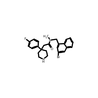 CN(Cc1cc(Br)cc2ccccc12)C(=O)CC1(c2ccc(F)cc2)CCNCC1